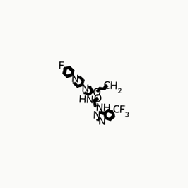 C=CCO[C@H]1CN(C2CCN(c3ccc(F)cc3)CC2)CC1NC(=O)CNc1ncnc2ccc(C(F)(F)F)cc12